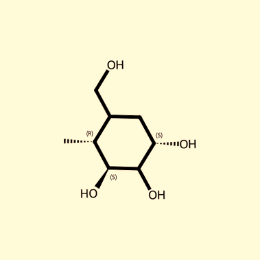 C[C@@H]1C(CO)C[C@H](O)C(O)[C@H]1O